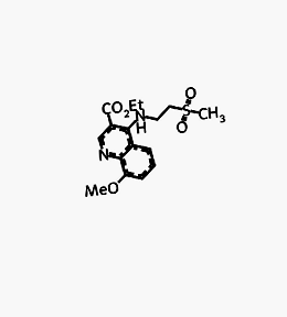 CCOC(=O)c1cnc2c(OC)cccc2c1NCCS(C)(=O)=O